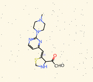 CN1CCN(c2nccc(/C=C3\SCNC3C(=O)C=O)n2)CC1